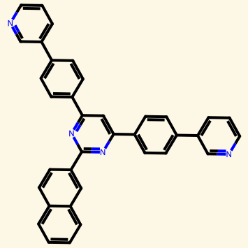 c1cncc(-c2ccc(-c3cc(-c4ccc(-c5cccnc5)cc4)nc(-c4ccc5ccccc5c4)n3)cc2)c1